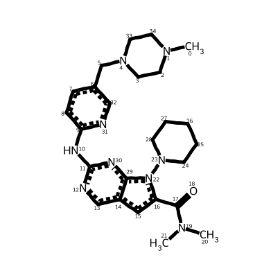 CN1CCN(Cc2ccc(Nc3ncc4cc(C(=O)N(C)C)n(N5CCCCC5)c4n3)nc2)CC1